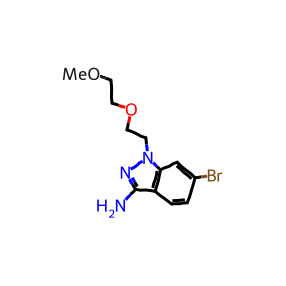 COCCOCCn1nc(N)c2ccc(Br)cc21